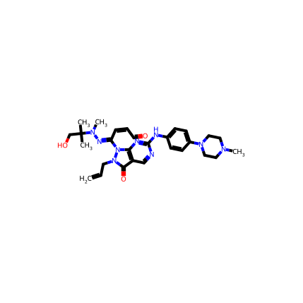 C=CCn1c(=O)c2cnc(Nc3ccc(N4CCN(C)CC4)cc3)nc2n1C(/C=C\C=O)=N/N(C)C(C)(C)CO